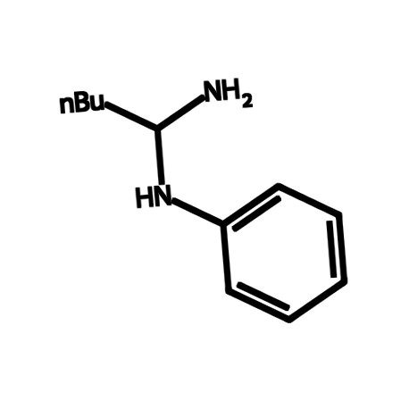 CCCCC(N)Nc1ccccc1